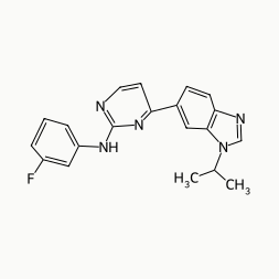 CC(C)n1cnc2ccc(-c3ccnc(Nc4cccc(F)c4)n3)cc21